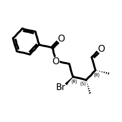 C[C@@H]([C@@H](C)C=O)[C@@H](Br)COC(=O)c1ccccc1